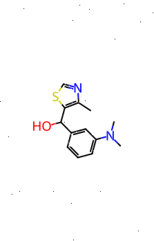 Cc1ncsc1C(O)c1cccc(N(C)C)c1